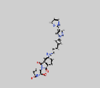 O=C1CCC(N2C(=O)c3ccc(NCCCC4CC(n5cc(-c6ncccn6)cn5)C4)cc3C2=O)C(=O)N1